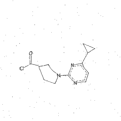 O=C(Cl)C1CCN(c2nccc(C3CC3)n2)C1